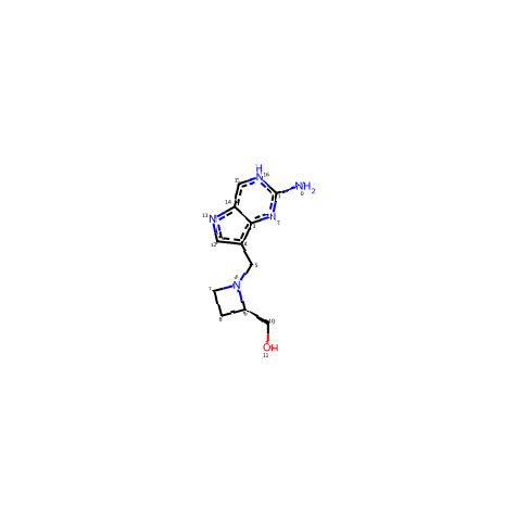 Nc1nc2c(CN3CC[C@@H]3CO)cnc-2c[nH]1